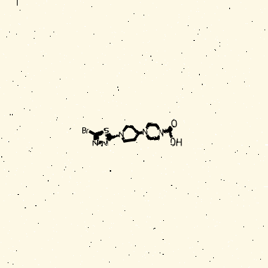 O=C(O)N1CCN(C2CCN(c3nnc(Br)s3)CC2)CC1